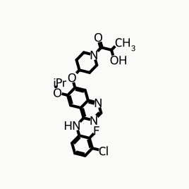 CC(C)Oc1cc2c(Nc3cccc(Cl)c3F)ncnc2cc1OC1CCN(C(=O)C(C)O)CC1